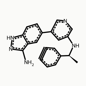 C[C@H](Nc1cncc(-c2ccc3[nH]nc(N)c3c2)c1)c1cc#ccc1